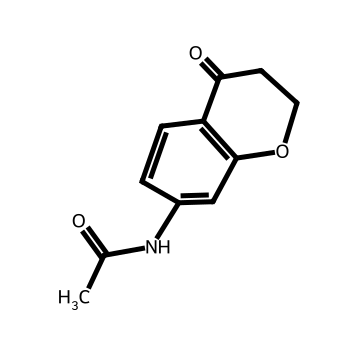 CC(=O)Nc1ccc2c(c1)OCCC2=O